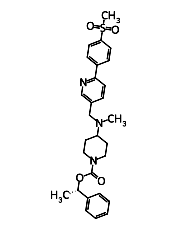 C[C@H](OC(=O)N1CCC(N(C)Cc2ccc(-c3ccc(S(C)(=O)=O)cc3)nc2)CC1)c1ccccc1